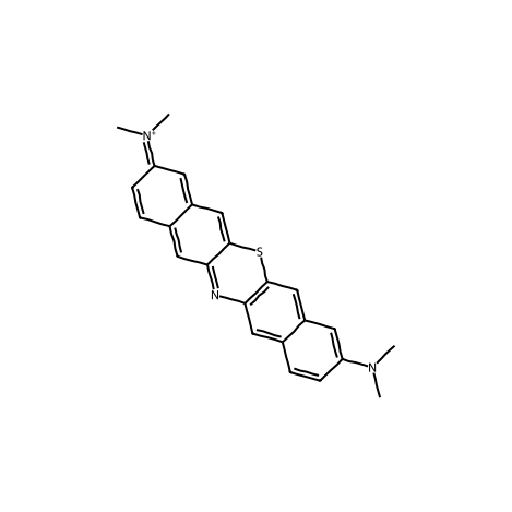 CN(C)c1ccc2cc3nc4cc5ccc(=[N+](C)C)cc5cc4sc3cc2c1